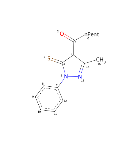 CCCCCC(=O)C1C(=S)N(c2ccccc2)N=C1C